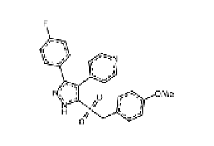 COc1ccc(CS(=O)(=O)c2[nH]nc(-c3ccc(F)cc3)c2-c2ccncc2)cc1